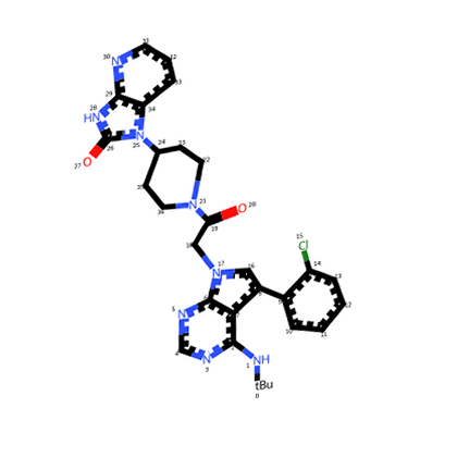 CC(C)(C)Nc1ncnc2c1c(-c1ccccc1Cl)cn2CC(=O)N1CCC(n2c(=O)[nH]c3ncccc32)CC1